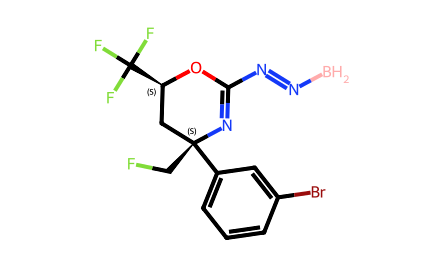 BN=NC1=N[C@](CF)(c2cccc(Br)c2)C[C@@H](C(F)(F)F)O1